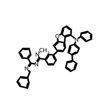 C=N/C(=N\C(=N/Cc1ccccc1)c1ccccc1)c1cccc(-c2ccc3c(c2)oc2cccc(N(c4ccccc4)c4ccc(-c5ccccc5)cc4)c23)c1